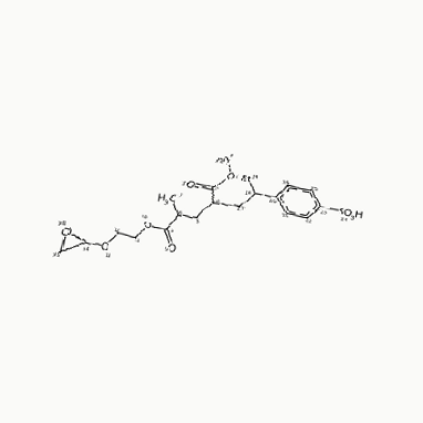 CCCOC(=O)C(CC(C)C(=O)OCCOC1CO1)CC(CC)c1ccc(S(=O)(=O)O)cc1